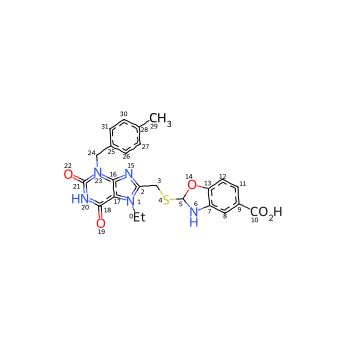 CCn1c(CSC2Nc3cc(C(=O)O)ccc3O2)nc2c1c(=O)[nH]c(=O)n2Cc1ccc(C)cc1